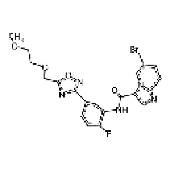 COCCOCc1nc(-c2ccc(F)c(NC(=O)c3cnc4ccc(Br)cn34)c2)no1